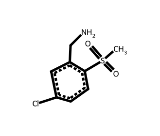 CS(=O)(=O)c1ccc(Cl)cc1CN